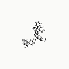 CN(Cc1ccc(CC[N+](C)(C)Cc2cnc(C(O)(c3ccccc3)C3CCCCC3)o2)cc1)C(=O)OC(C)(C)C.CS(=O)(=O)O